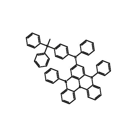 C[Si](c1ccccc1)(c1ccccc1)c1ccc(N(c2ccccc2)c2cc3c4c(c2)N(c2ccccc2)c2ccccc2B4c2ccccc2N3c2ccccc2)cc1